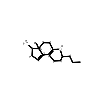 CCCC1CCC2=C(CCC3(C)C2=CCC3O)O1